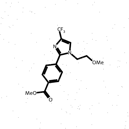 COCCn1cc(C(F)(F)F)nc1-c1ccc(C(=O)OC)cc1